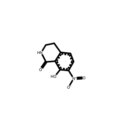 O=C1NCCc2ccc([N+](=O)[O-])c(O)c21